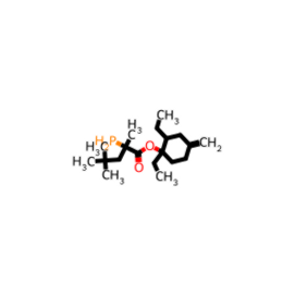 C=C1CCC(CC)(OC(=O)C(C)(P)CC(C)(C)C)C(CC)C1